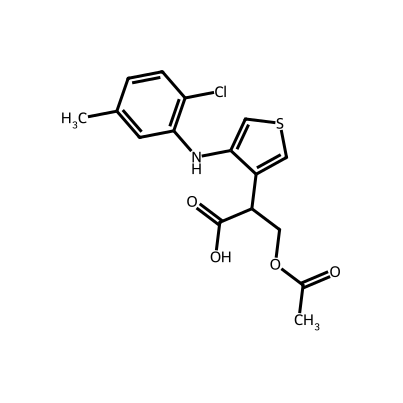 CC(=O)OCC(C(=O)O)c1cscc1Nc1cc(C)ccc1Cl